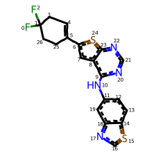 FC1(F)CC=C(c2cc3c(Nc4ccc5scnc5c4)ncnc3s2)CC1